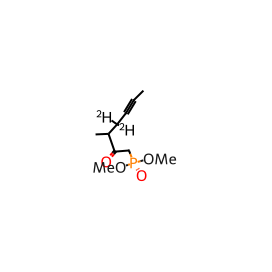 [2H]C([2H])(C#CC)C(C)C(=O)CP(=O)(OC)OC